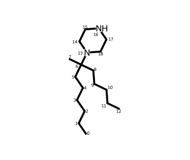 CCCCCCC(C)(CCCCC)N1CCNCC1